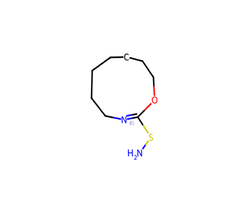 NS/C1=N/CCCCCCCO1